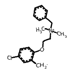 [CH2]c1cc(Cl)ccc1OCC[N+](C)(C)Cc1ccccc1